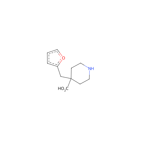 O=C(O)C1(Cc2ccco2)CCNCC1